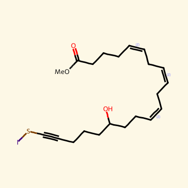 COC(=O)CCC/C=C\C/C=C\C/C=C\CCC(O)CCCC#CSI